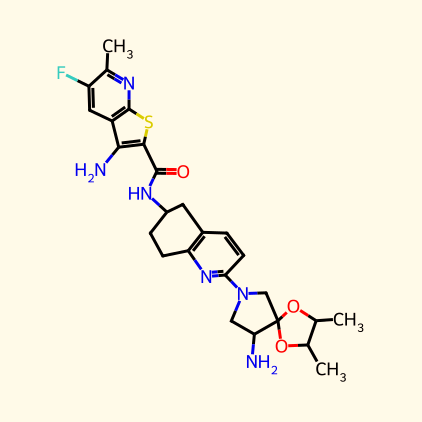 Cc1nc2sc(C(=O)NC3CCc4nc(N5CC(N)C6(C5)OC(C)C(C)O6)ccc4C3)c(N)c2cc1F